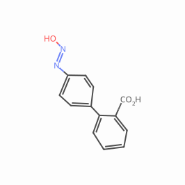 O=C(O)c1ccccc1-c1ccc(N=NO)cc1